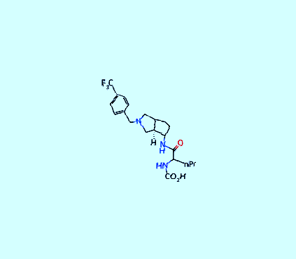 CCCC(NC(=O)O)C(=O)NC1CCC2CN(Cc3ccc(C(F)(F)F)cc3)C[C@@H]21